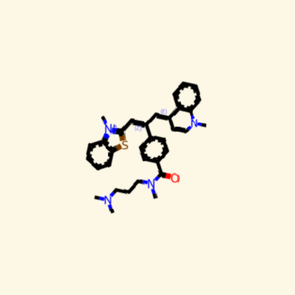 CN(C)CCCN(C)C(=O)c1ccc(C(=C\c2sc3ccccc3[n+]2C)/C=C2\C=CN(C)c3ccccc32)cc1